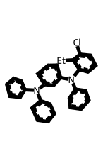 CCc1c(Cl)cccc1N(c1ccccc1)c1cccc(N(c2ccccc2)c2ccccc2)c1